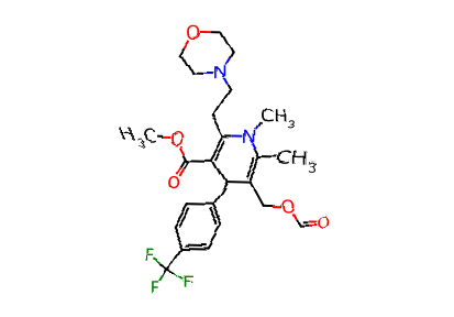 COC(=O)C1=C(CCN2CCOCC2)N(C)C(C)=C(COC=O)C1c1ccc(C(F)(F)F)cc1